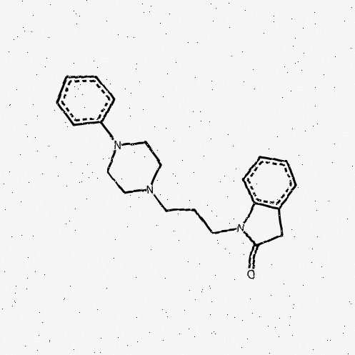 O=C1Cc2ccccc2N1CCCN1CCN(c2ccccc2)CC1